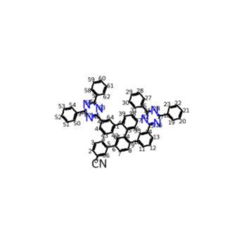 N#Cc1cccc(-c2ccc(-c3cccc(-c4nc(-c5ccccc5)nc(-c5ccccc5)n4)c3)c(-c3ccccc3-c3cccc(-c4nc(-c5ccccc5)nc(-c5ccccc5)n4)c3)c2)c1